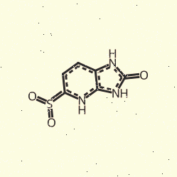 O=c1[nH]c2ccc(=S(=O)=O)[nH]c2[nH]1